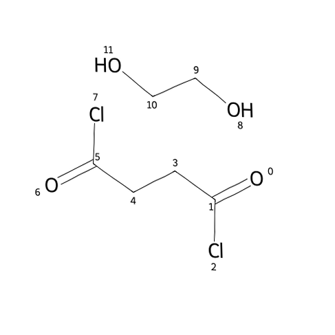 O=C(Cl)CCC(=O)Cl.OCCO